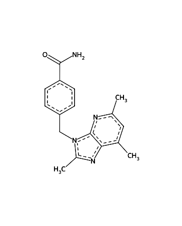 Cc1cc(C)c2nc(C)n(Cc3ccc(C(N)=O)cc3)c2n1